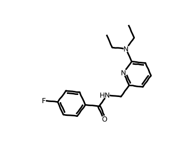 CCN(CC)c1cccc(CNC(=O)c2ccc(F)cc2)n1